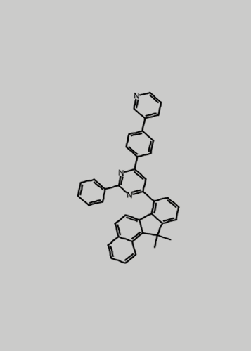 CC1(C)c2cccc(-c3cc(-c4ccc(-c5cccnc5)cc4)nc(-c4ccccc4)n3)c2-c2ccc3ccccc3c21